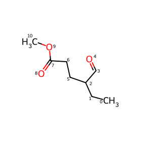 CCC(C=O)CCC(=O)OC